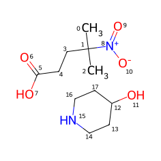 CC(C)(CCC(=O)O)[N+](=O)[O-].OC1CCNCC1